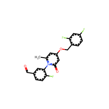 Cc1cc(OCc2ccc(F)cc2F)cc(=O)n1-c1cc(C=O)ccc1F